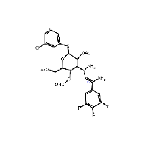 CC(=O)OCC1OC(Sc2cncc(Cl)c2)C(OC(C)=O)C(N(N)/C=C(\N)c2cc(F)c(F)c(F)c2)C1OC=O